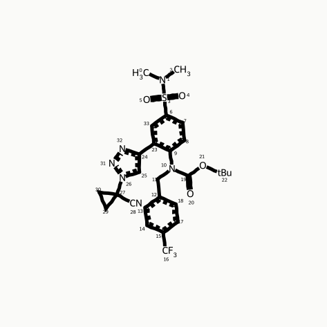 CN(C)S(=O)(=O)c1ccc(N(Cc2ccc(C(F)(F)F)cc2)C(=O)OC(C)(C)C)c(-c2cn(C3(C#N)CC3)nn2)c1